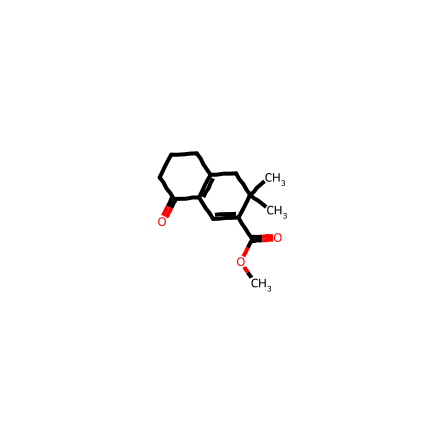 COC(=O)C1=CC2=C(CCCC2=O)CC1(C)C